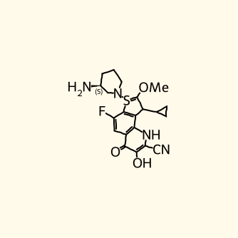 COC1=S(N2CCC[C@H](N)C2)c2c(F)cc3c(=O)c(O)c(C#N)[nH]c3c2C1C1CC1